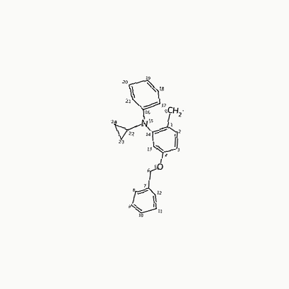 [CH2]c1ccc(OCc2ccccc2)cc1N(c1ccccc1)C1CC1